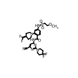 COCCS(=O)(=O)Nc1ccc(C(=O)Nc2cc(C#N)nc(N3CCC(F)(F)CC3)n2)c(N2CCC(=C(F)F)CC2)c1